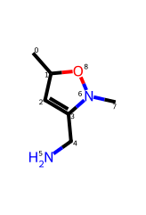 CC1C=C(CN)N(C)O1